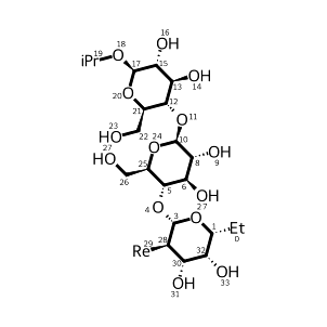 CC[C@H]1O[C@@H](O[C@H]2[C@H](O)[C@@H](O)[C@H](O[C@H]3[C@H](O)[C@@H](O)[C@H](OC(C)C)O[C@@H]3CO)O[C@@H]2CO)[C@H]([Re])[C@@H](O)[C@H]1O